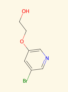 OCCOc1cncc(Br)c1